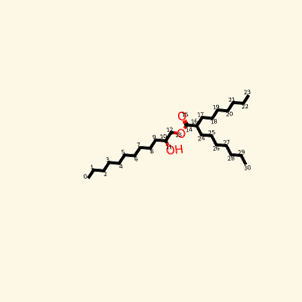 CCCCCCCCCCC(O)COC(=O)C(CCCCCCC)CCCCCCC